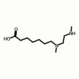 CNCCN(C)CCCCCCC(=O)O